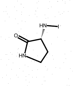 O=C1NCC[C@H]1NI